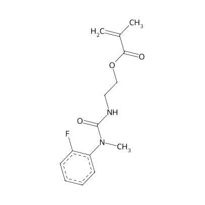 C=C(C)C(=O)OCCNC(=O)N(C)c1ccccc1F